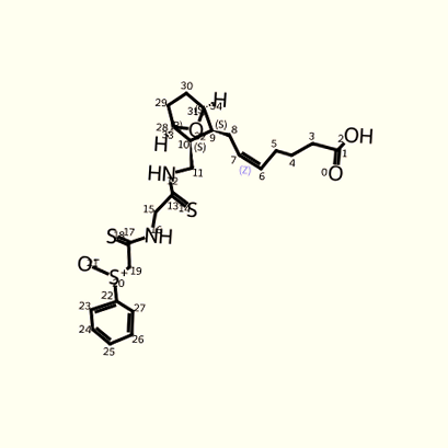 O=C(O)CCC/C=C\C[C@H]1[C@@H](CNC(=S)CNC(=S)C[S+]([O-])c2ccccc2)[C@H]2CC[C@@H]1O2